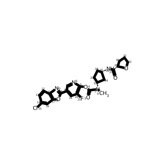 CN(C(=O)Oc1ncc(-c2nc3ccc(Cl)cc3o2)cc1F)[C@@H]1CC[C@H](NC(=O)[C@@H]2CCCO2)C1